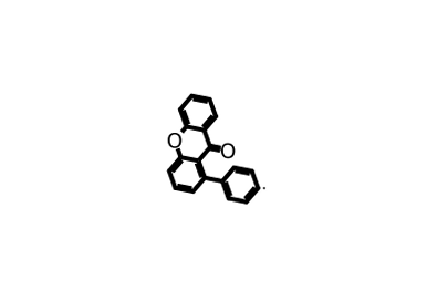 O=c1c2ccccc2oc2cccc(-c3cc[c]cc3)c12